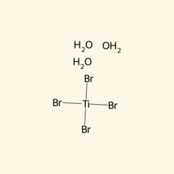 O.O.O.[Br][Ti]([Br])([Br])[Br]